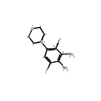 Nc1c(F)cc(N2CCOCC2)c(F)c1N